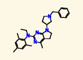 CCN(c1nc(C)c2c(n1)N(C1CCN(Cc3ccccc3)C1)CC2)c1c(C)cc(C)cc1C